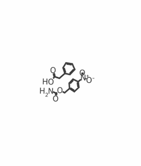 NC(=O)OCc1ccc([N+](=O)[O-])cc1.O=C(O)Cc1ccccc1